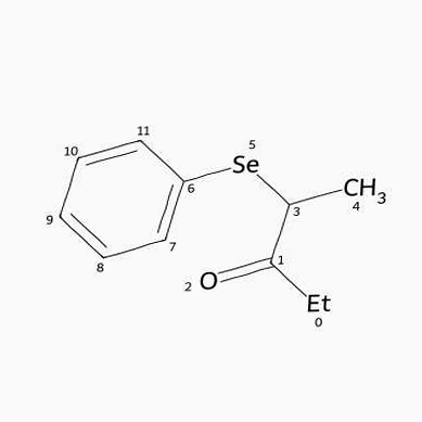 CCC(=O)C(C)[Se]c1ccccc1